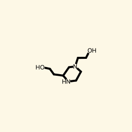 OCCC1CN(CCO)CCN1